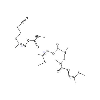 CNC(=O)O/N=C(/C)SCCC#N.CS/C(C)=N\OC(=O)N(C)SN(C)C(=O)O/N=C(/C)SC